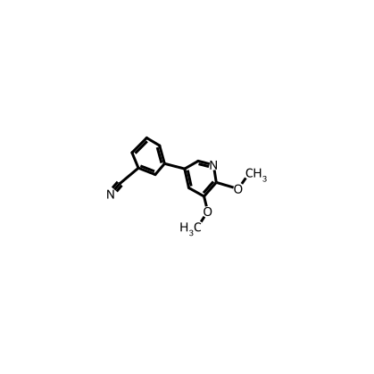 COc1cc(-c2cccc(C#N)c2)cnc1OC